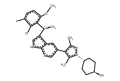 COc1ccc(F)c(Cl)c1[C@@H](C)c1c[nH]c2ncc(-c3c(C)nn([C@H]4CC[C@H](O)CC4)c3C)cc12